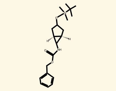 CC(C)(C)[Si](C)(C)OC1C[C@@H]2C(NC(=O)OCc3ccccc3)[C@@H]2C1